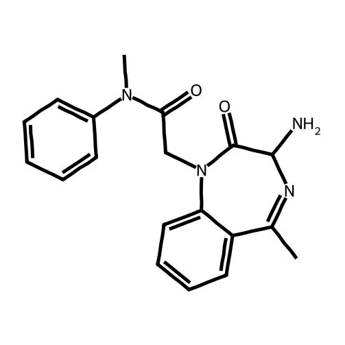 CC1=NC(N)C(=O)N(CC(=O)N(C)c2ccccc2)c2ccccc21